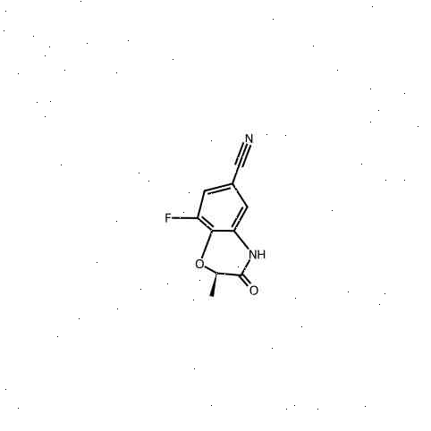 C[C@H]1Oc2c(F)cc(C#N)cc2NC1=O